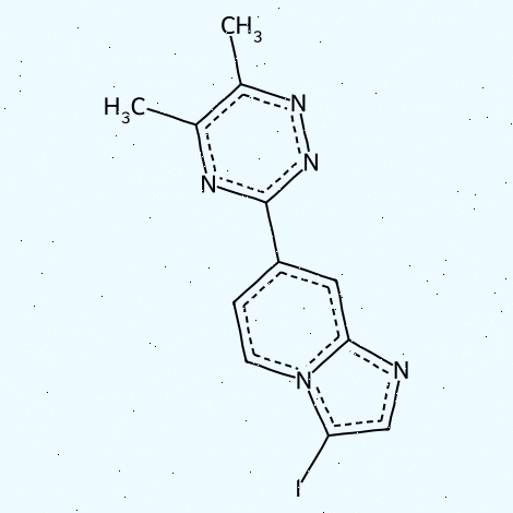 Cc1nnc(-c2ccn3c(I)cnc3c2)nc1C